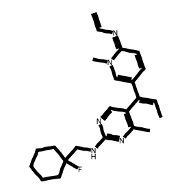 C=C/N=c1/ccc(/C(=C/C)c2cnc(NCC3(F)CCCCC3)nc2C)cn1C